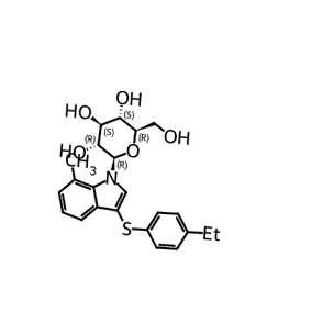 CCc1ccc(Sc2cn([C@@H]3O[C@H](CO)[C@@H](O)[C@H](O)[C@H]3O)c3c(C)cccc23)cc1